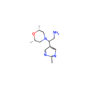 Cc1ncc(C(CN)N2C[C@@H](C)O[C@@H](C)C2)cn1